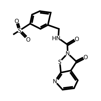 CS(=O)(=O)c1cccc(CNC(=O)n2sc3ncccc3c2=O)c1